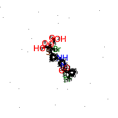 O=C(O)COc1c(C(=O)O)sc(-c2cccc(NC3CCN(S(=O)(=O)Cc4ccccc4C(F)(F)F)CC3)c2)c1Br